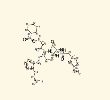 CC(OC(=O)C1=C(CSc2nnnn2CCN(C)C)CS[C@H]2[C@H](NC(=O)Cc3csc(N)n3)C(=O)N12)OC(=O)C1CCCCC1